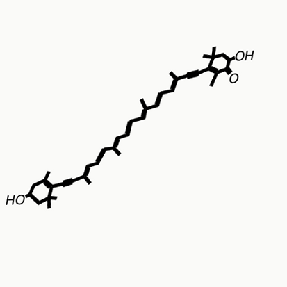 CC1=C(C#C/C(C)=C/C=C/C(C)=C/C=C/C=C(C)/C=C/C=C(\C)C#CC2=C(C)C(=O)C(O)CC2(C)C)C(C)(C)CC(O)C1